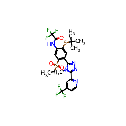 CCS(=O)(=O)c1cc(NC(=O)C(F)(F)F)c(SC(C)(C)C)cc1-c1nnc(-c2cc(C(F)(F)F)ccn2)n1C